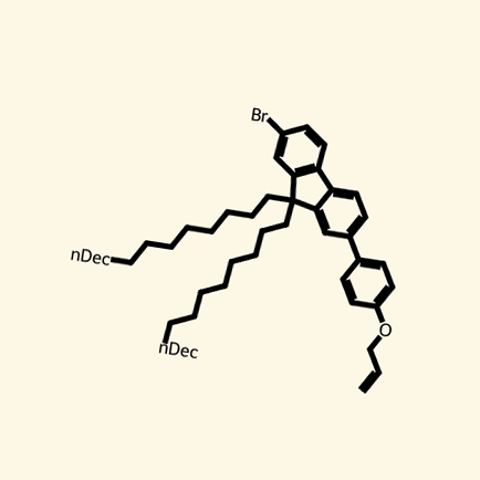 C=CCOc1ccc(-c2ccc3c(c2)C(CCCCCCCCCCCCCCCCCC)(CCCCCCCCCCCCCCCCCC)c2cc(Br)ccc2-3)cc1